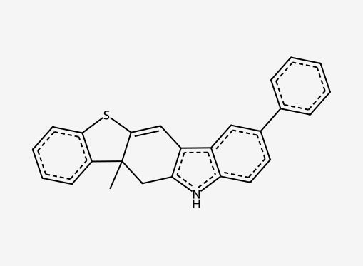 CC12Cc3[nH]c4ccc(-c5ccccc5)cc4c3C=C1Sc1ccccc12